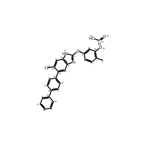 Cc1ccc(Oc2nc3cc(-c4ccc(-c5ccccc5)cc4)c(Cl)cc3[nH]2)cc1O[PH](=O)O